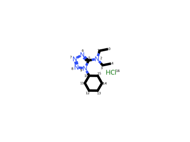 CCN(CC)c1nnnn1C1CCCCC1.Cl